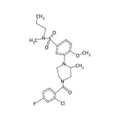 CCCN(C)S(=O)(=O)c1ccc(OC)c(N2CCN(C(=O)c3ccc(F)cc3Cl)CC2C)c1